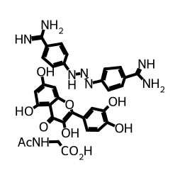 CC(=O)NCC(=O)O.N=C(N)c1ccc(/N=N/Nc2ccc(C(=N)N)cc2)cc1.O=c1c(O)c(-c2ccc(O)c(O)c2)oc2cc(O)cc(O)c12